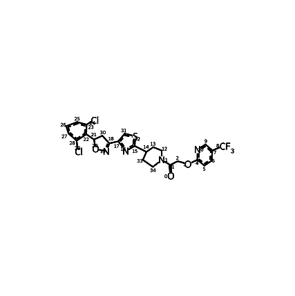 O=C(COc1ccc(C(F)(F)F)cn1)N1CCC(c2nc(C3=NOC(c4c(Cl)cccc4Cl)C3)cs2)CC1